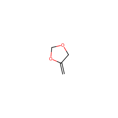 C=C1COCO1